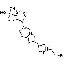 CC(C)CCn1cc(-c2cn3cc(-c4cccc(C(C)(C)O)c4)ccc3n2)cn1